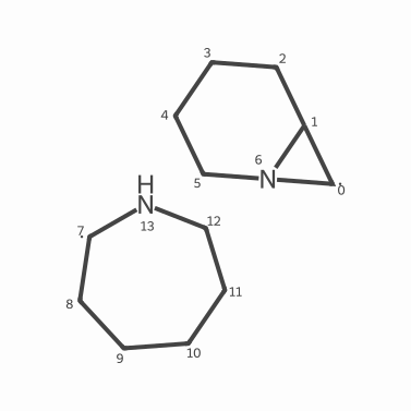 [CH]1C2CCCCN12.[CH]1CCCCCN1